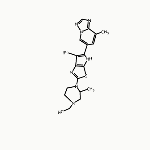 Cc1cc(-c2[nH]c3sc(N4CCN(CC#N)CC4C)nc3c2C(C)C)cn2ncnc12